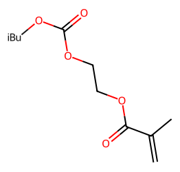 C=C(C)C(=O)OCCOC(=O)OC(C)CC